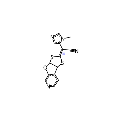 Cn1cncc1/C(C#N)=C1\SC2Oc3cnccc3C2S1